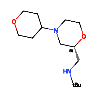 CC(C)(C)NC[C@@H]1CN(C2CCOCC2)CCO1